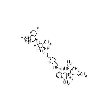 C=CCCC(C(=C)NC)N(C)Cc1c(C=C)cccc1NNCN1CCN(CCCNc2c(C)[nH]c(/C=C(\C=C)c3cc(F)ccc3NC)c2C)CC1